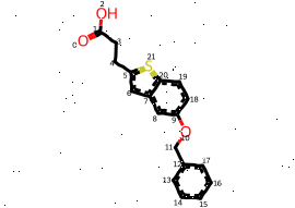 O=C(O)CCc1cc2cc(OCc3ccccc3)ccc2s1